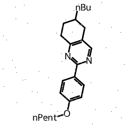 CCCCCOc1ccc(-c2ncc3c(n2)CCC(CCCC)C3)cc1